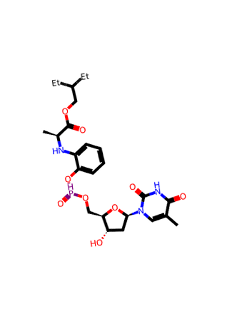 CCC(CC)COC(=O)[C@H](C)Nc1ccccc1O[PH](=O)OC[C@H]1O[C@@H](n2cc(C)c(=O)[nH]c2=O)C[C@@H]1O